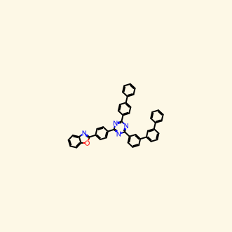 c1ccc(-c2ccc(-c3nc(-c4ccc(-c5nc6ccccc6o5)cc4)nc(-c4cccc(-c5cccc(-c6ccccc6)c5)c4)n3)cc2)cc1